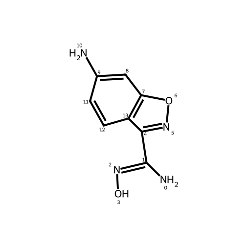 NC(=NO)c1noc2cc(N)ccc12